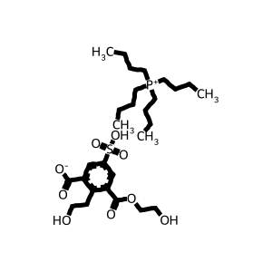 CCCC[P+](CCCC)(CCCC)CCCC.O=C([O-])c1cc(S(=O)(=O)O)cc(C(=O)OCCO)c1CCO